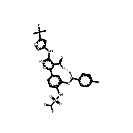 C[C@H](Oc1cc(-c2n[nH]c(Nc3cc(C(C)(C)F)on3)c2C(N)=O)ccc1NS(=O)(=O)C(F)F)c1ccc(F)cc1